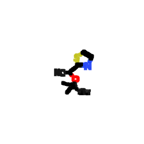 CC(C)(C)[Si](C)(C)OC(C#N)c1nccs1